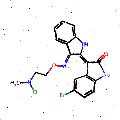 CN(Cl)CCO/N=C1/C(=C2/C(=O)Nc3ccc(Br)cc32)Nc2ccccc21